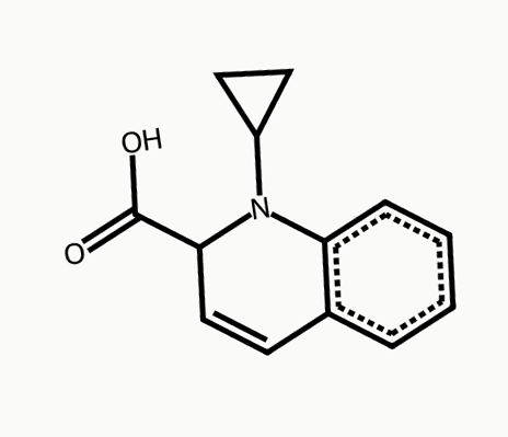 O=C(O)C1C=Cc2ccccc2N1C1CC1